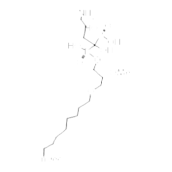 CCCCCCCCCCCCCCCCCCOC[C@H](COP(=O)(O)C(O)(CCCN)P(=O)(O)O)OC